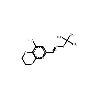 Cc1cc(/C=N/SC(C)(C)C)nc2c1OCCO2